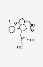 COc1ccc2c3c(cc(CN(CCO)CCO)c(-c4ccccc4)c13)C(=O)C=C2.Cl